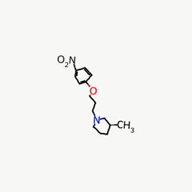 C[C@H]1CCCN(CCCOc2ccc([N+](=O)[O-])cc2)C1